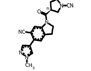 Cn1cc(-c2cc3c(cc2C#N)N(C(=O)[C@H]2CCN(C#N)C2)CC3)cn1